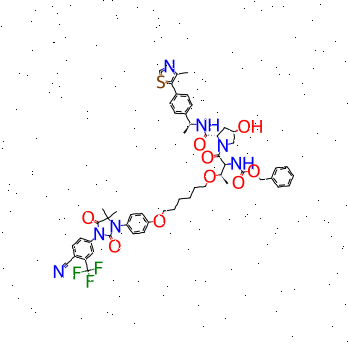 Cc1ncsc1-c1ccc([C@H](C)NC(=O)[C@@H]2C[C@@H](O)CN2C(=O)[C@@H](NC(=O)OCc2ccccc2)[C@@H](C)OCCCCCCOc2ccc(N3C(=O)N(c4ccc(C#N)c(C(F)(F)F)c4)C(=O)C3(C)C)cc2)cc1